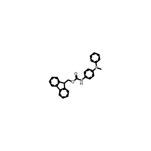 CN(c1ccccc1)c1ccc(NC(=O)OCC2c3ccccc3-c3ccccc32)cc1